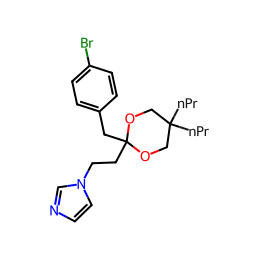 CCCC1(CCC)COC(CCn2ccnc2)(Cc2ccc(Br)cc2)OC1